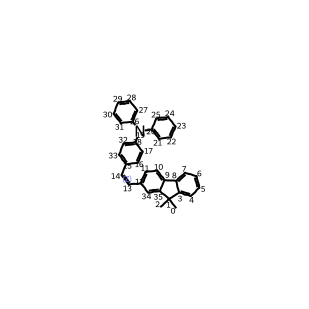 CC1(C)c2ccccc2-c2ccc(/C=C\c3ccc(N(c4ccccc4)c4ccccc4)cc3)cc21